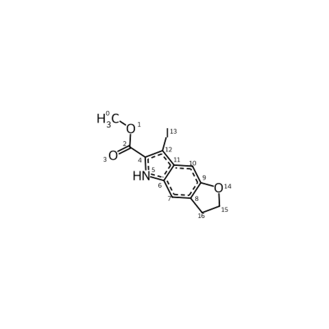 COC(=O)c1[nH]c2cc3c(cc2c1I)OCC3